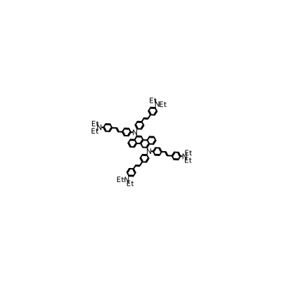 CCN(CC)c1ccc(C=Cc2ccc(N(C3=C4C=CC=CC4c4cc(N(c5ccc(C=Cc6ccc(N(CC)CC)cc6)cc5)c5ccc(C=Cc6ccc(N(CC)CC)cc6)cc5)c5ccccc5c4C3)c3ccc(C=Cc4ccc(N(CC)CC)cc4)cc3)cc2)cc1